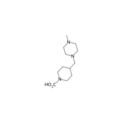 CN1CCN(CC2CCN(C(=O)O)CC2)CC1